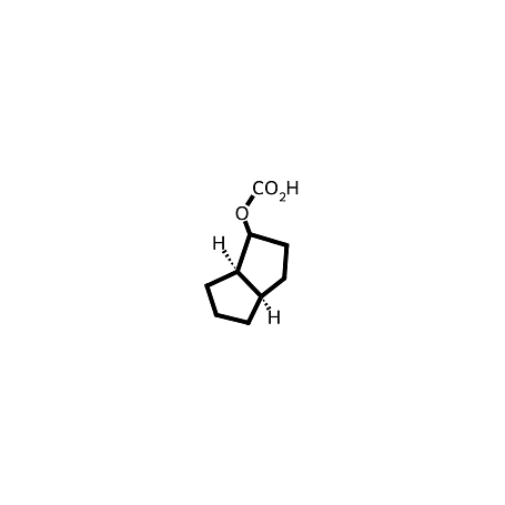 O=C(O)OC1CC[C@H]2CCC[C@@H]12